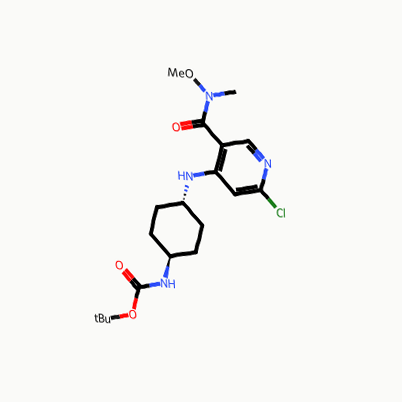 CON(C)C(=O)c1cnc(Cl)cc1N[C@H]1CC[C@H](NC(=O)OC(C)(C)C)CC1